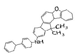 CC1(C)C2=C(C=CC3OC4=C(C=CCC4)C23)C2C=CC(NC3C=CC(C4C=CC=CC4)=CC3)=CC21